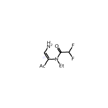 CCN(C(=O)C(F)F)/C(=C\N)C(C)=O